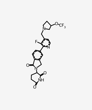 O=C1CCC(N2Cc3cc(-c4nccc(CN5CCC(OC(F)(F)F)C5)c4F)ccc3C2=O)C(=O)N1